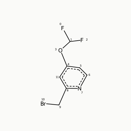 FC(F)Oc1ccnc(CBr)c1